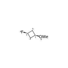 CO[C@H]1C[C@@H](F)C1